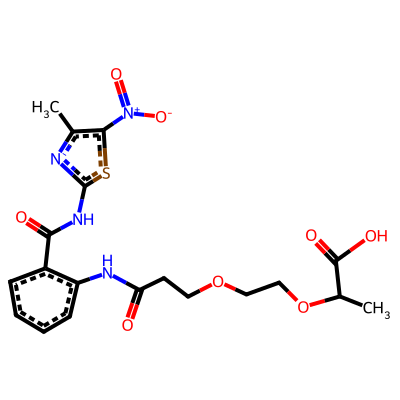 Cc1nc(NC(=O)c2ccccc2NC(=O)CCOCCOC(C)C(=O)O)sc1[N+](=O)[O-]